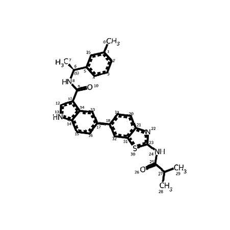 Cc1cccc([C@H](C)NC(=O)c2c[nH]c3ccc(-c4ccc5nc(NC(=O)C(C)C)sc5c4)cc23)c1